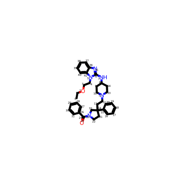 CCOCCn1c(NC2CCN(CCC3(c4ccccc4)CCN(C(=O)c4ccccc4)C3)CC2)nc2ccccc21